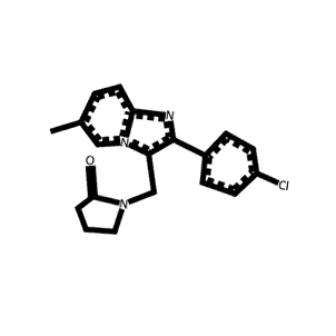 Cc1ccc2nc(-c3ccc(Cl)cc3)c(CN3CCCC3=O)n2c1